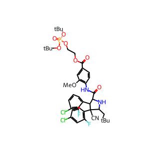 COc1cc(C(=O)OCCOP(=O)(OC(C)(C)C)OC(C)(C)C)ccc1NC(=O)C1NC(CC(C)(C)C)C(C#N)(c2ccc(Cl)cc2F)C1c1cccc(Cl)c1F